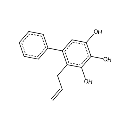 C=CCc1c(-c2ccccc2)cc(O)c(O)c1O